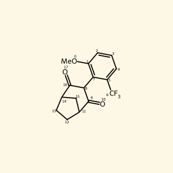 COc1cccc(C(F)(F)F)c1C1C(=O)C2CCC(C2)C1=O